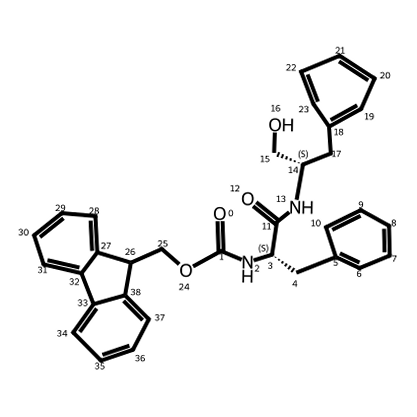 O=C(N[C@@H](Cc1ccccc1)C(=O)N[C@H](CO)Cc1ccccc1)OCC1c2ccccc2-c2ccccc21